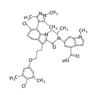 Cc1cc(OCCCc2c3n(c4c(-c5c(C)nn(C)c5C)c(Cl)ccc24)CC(C)N(c2cc(C(=O)O)c4ccn(C)c4c2)C3=O)cc(C)c1Cl